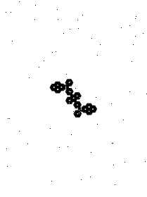 c1ccc(N(c2ccc(-c3c4ccccc4c(-c4ccc(N(c5ccccc5)c5cc6ccc7cccc8ccc(c5)c6c78)cc4)c4ccccc34)cc2)c2cc3ccc4cccc5ccc(c2)c3c45)cc1